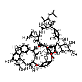 CN[C@H](CC(C)C)C(C)N[C@H]1C(=O)N[C@@H](CC(N)=O)C(=O)N[C@H]2C(=O)N[C@H]3C(=O)N[C@H](C(=O)N[C@H](C(=O)O)c4cc(O)cc(O)c4-c4cc3ccc4O)[C@H](O)c3ccc(c(Cl)c3)Oc3cc2cc(c3O[C@@H]2O[C@H](CO)[C@@H](O)[C@H](O)[C@H]2O[C@H]2C[C@](C)(N)[C@H](O)[C@H](C)O2)Oc2ccc(cc2Cl)[C@H]1O